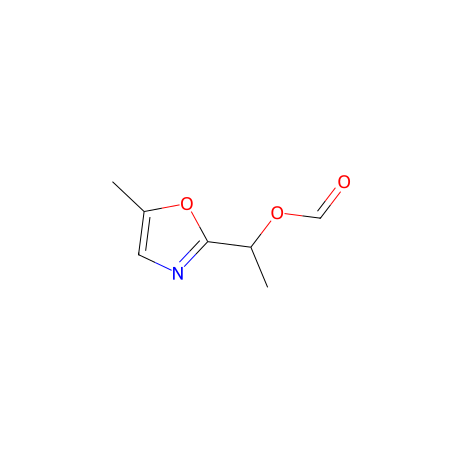 Cc1cnc(C(C)OC=O)o1